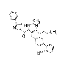 CCCCC1=C(Cc2ccc(-c3ccccc3C#N)cc2)C(C(=O)c2cnc(-c3ccccc3)s2)NC(C)=N1